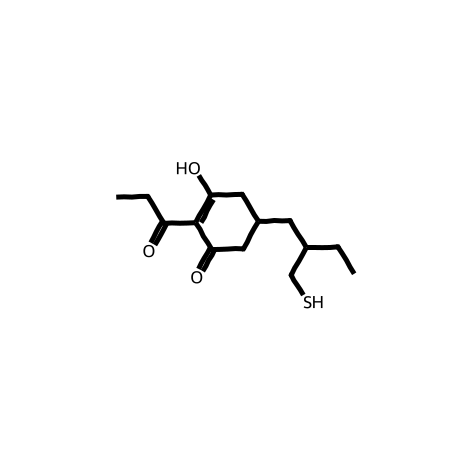 CCC(=O)C1=C(O)CC(CC(CC)CS)CC1=O